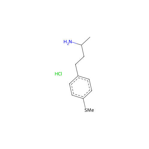 CSc1ccc(CCC(C)N)cc1.Cl